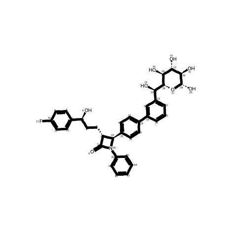 O=C1[C@H](CC[C@H](O)c2ccc(F)cc2)[C@@H](c2ccc(-c3cccc([C@@H](O)[C@H]4O[C@@H](O)[C@H](O)[C@@H](O)[C@@H]4O)c3)cc2)N1c1ccccc1